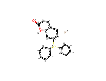 O=c1ccc2ccc([S+](c3ccccc3)c3ccccc3)cc2o1.[Br-]